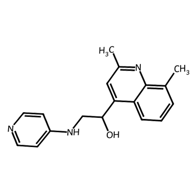 Cc1cc(C(O)CNc2ccncc2)c2cccc(C)c2n1